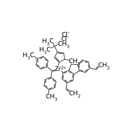 C=Cc1ccc2c(c1)-c1cc(C=C)c[c]([Zr+2]([C]3=CC(C(C)(C)C)=CC3C)=[C](c3ccc(C)cc3)c3ccc(C)cc3)c1C2.[Cl-].[Cl-]